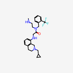 CNCCN(Cc1ccccc1C(F)(F)F)C(=O)CNc1cccc2c1CN(CC1CC1)CC2